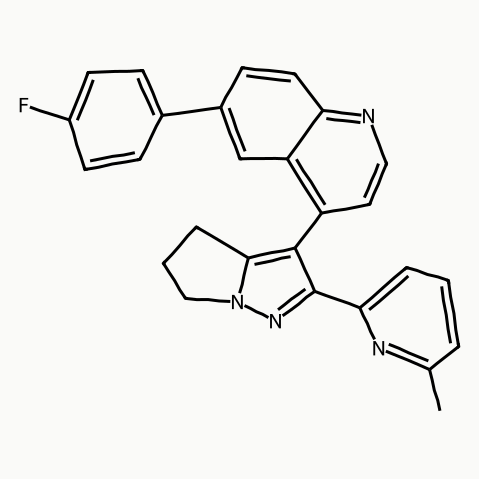 Cc1cccc(-c2nn3c(c2-c2ccnc4ccc(-c5ccc(F)cc5)cc24)CCC3)n1